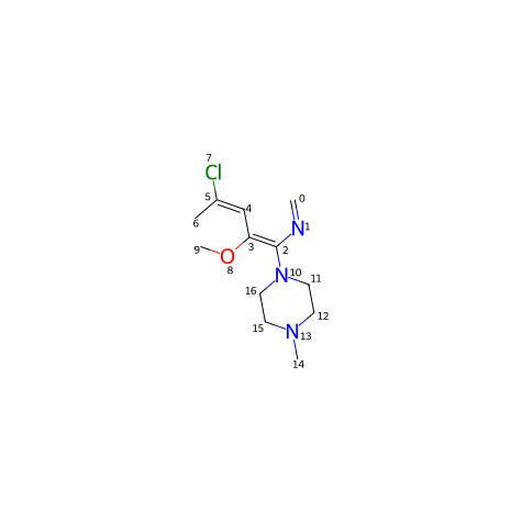 C=N/C(=C(\C=C(/C)Cl)OC)N1CCN(C)CC1